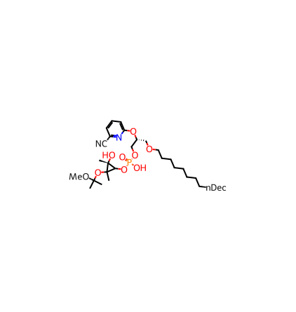 CCCCCCCCCCCCCCCCCCOC[C@H](COP(=O)(O)OC1C(C)(OC(C)(C)OC)[C@]1(C)O)Oc1cccc(C#N)n1